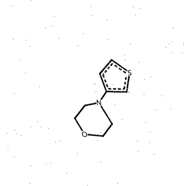 [c]1sccc1N1CCOCC1